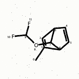 CC1=CC2C=CC1C2OC(F)F